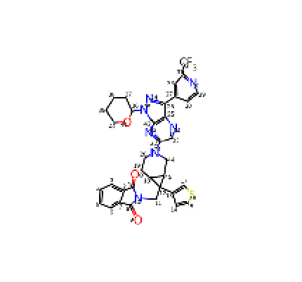 O=C1c2ccccc2C(=O)N1CC1(c2ccsc2)C2CCN(c3cnc4c(-c5ccnc(C(F)(F)F)c5)nn(C5CCCCO5)c4n3)CC21